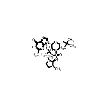 Cc1nc2c(ncn2[C@H]2CN(P(=O)(N=C3N(C)CCN3C)OC(C)(C)C)C[C@@H](CC(C)(C)C)O2)c(=O)[nH]1